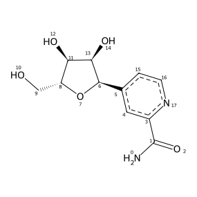 NC(=O)c1cc([C@H]2O[C@H](CO)[C@@H](O)[C@H]2O)ccn1